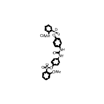 COc1ccccc1S(=O)(=O)Oc1ccc(NC(=O)Nc2ccc(OS(=O)(=O)c3ccccc3OC)cc2)cc1